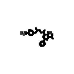 CC(CCC(C)C1=CC(c2ccccc2)CC(C(C)C)=C1N)CC1C=CC(N)=CC1